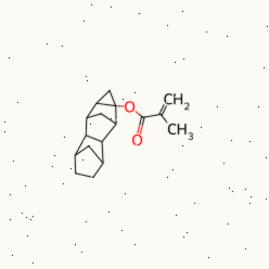 C=C(C)C(=O)OC12CC1C1CC2C2C3CCC(C3)C12